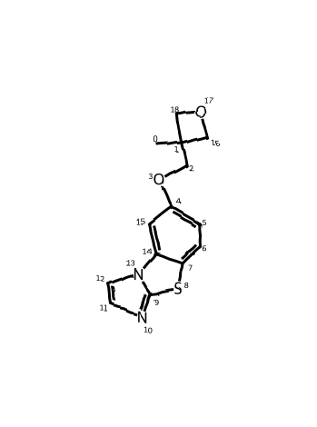 CC1(COc2ccc3sc4nccn4c3c2)COC1